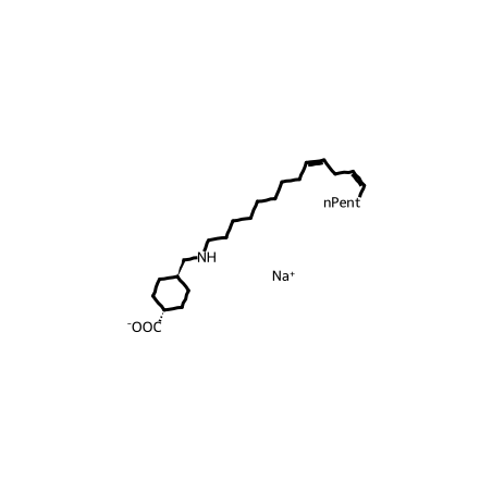 CCCCC/C=C\C/C=C\CCCCCCCCNC[C@H]1CC[C@H](C(=O)[O-])CC1.[Na+]